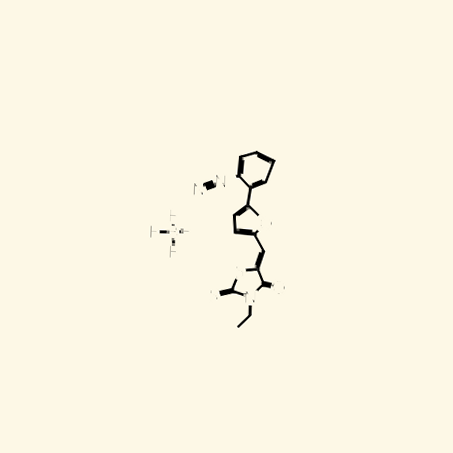 CCN1C(=O)C(=Cc2ccc(-c3ccccc3[N+]#N)o2)SC1=S.F[B-](F)(F)F